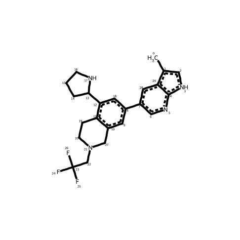 Cc1c[nH]c2ncc(-c3cc4c(c(C5CCCN5)c3)CCN(CC(F)(F)F)C4)cc12